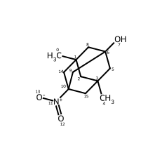 CC12CC3(C)CC(O)(C1)CC([N+](=O)[O-])(C2)C3